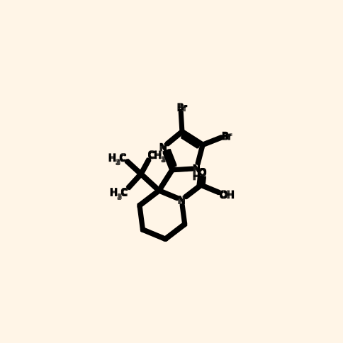 CC(C)(C)C1(c2nc(Br)c(Br)[nH]2)CCCCN1C(=O)O